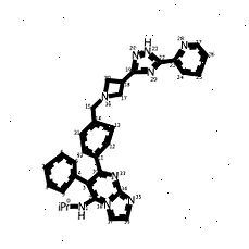 CC(C)Nc1c(-c2ccccc2)c(-c2ccc(CN3CC(c4n[nH]c(-c5ccccn5)n4)C3)cc2)nc2nccn12